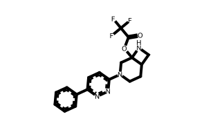 O=C(OC12CN(c3ccc(-c4ccccc4)nn3)CCC1CN2)C(F)(F)F